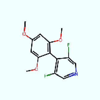 COc1cc(OC)c(-c2c(F)cncc2F)c(OC)c1